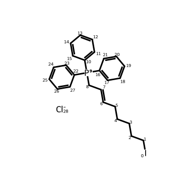 ICCCCCC=CC[P+](c1ccccc1)(c1ccccc1)c1ccccc1.[Cl-]